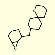 C1CCC2(CCC(CC3CCCC4OC34)CC2)OC1